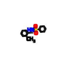 Cc1ccccc1[CH]NS(=O)(=O)c1ccccc1